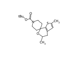 Cc1cc2c(s1)C1(CCN(C(=O)OC(C)(C)C)CC1)OC(C)C2